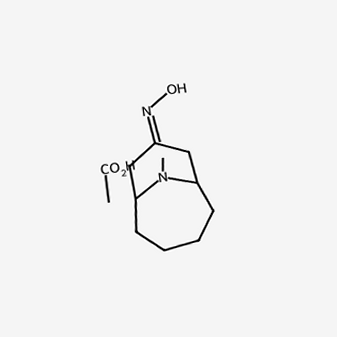 CC(=O)O.CN1C2CCCCC1CC(=NO)C2